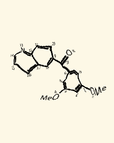 COc1cc(OC)cc(C(=O)c2ccc3ncccc3c2)c1